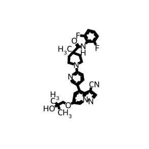 CC(C)(O)COc1cc(-c2ccc(N3CCC(C)(C(=O)Nc4c(F)cccc4F)CC3)nc2)c2c(C#N)cnn2c1